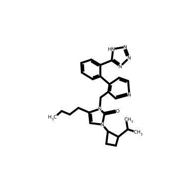 CCCCc1cn(C2CCC2C(C)C)c(=O)n1Cc1cnccc1-c1ccccc1-c1nnn[nH]1